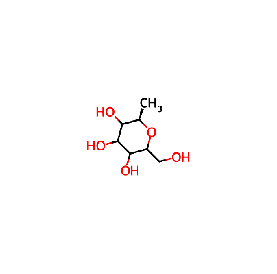 C[C@H]1OC(CO)C(O)C(O)C1O